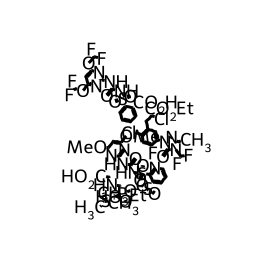 CCOC(=O)C(Cl)Cc1cc(-n2nc(C)n(C(F)F)c2=O)c(F)cc1Cl.CCS(=O)(=O)c1cccnc1S(=O)(=O)NC(=O)Nc1nc(OC)cc(OC)n1.C[S+](C)C.O=C(Nc1nc(OC(F)F)cc(OC(F)F)n1)NS(=O)(=O)c1ccccc1C(=O)O.O=C(O)CNCP(=O)([O-])O